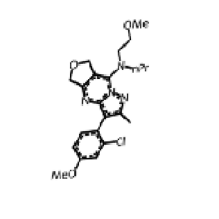 CCCN(CCOC)c1c2c(nc3c(-c4ccc(OC)cc4Cl)c(C)nn13)COC2